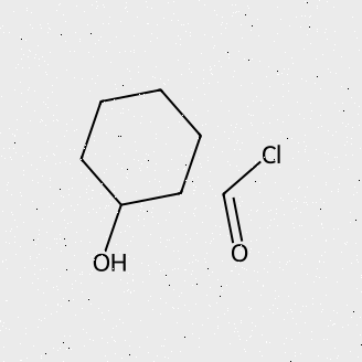 O=CCl.OC1CCCCC1